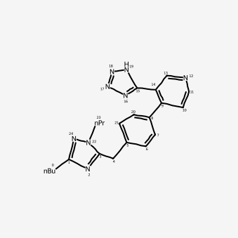 CCCCc1nc(Cc2ccc(-c3ccncc3-c3nnn[nH]3)cc2)n(CCC)n1